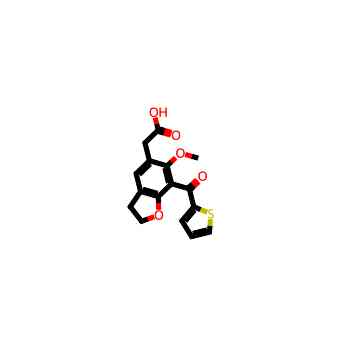 COc1c(CC(=O)O)cc2c(c1C(=O)c1cccs1)OCC2